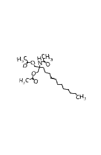 CCCCCCCCCCCCC(COC(C)=O)(COC(C)=O)NC(C)=O